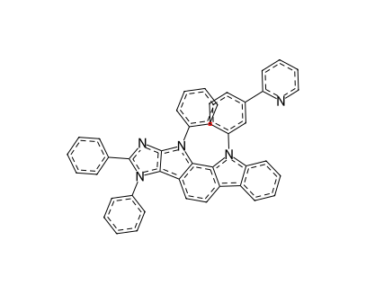 c1ccc(-c2nc3c(c4ccc5c6ccccc6n(-c6cccc(-c7ccccn7)c6)c5c4n3-c3ccccc3)n2-c2ccccc2)cc1